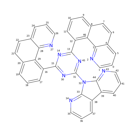 c1cnc2c(c1)ccc1cccc(-c3nc(-c4cccc5ccc6cccnc6c45)nc(-n4c5ncccc5c5cccnc54)n3)c12